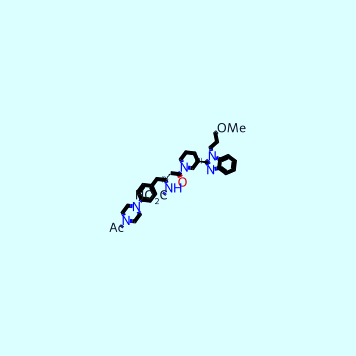 COCCCn1c([C@@H]2CCCN(C(=O)C[C@@H](Cc3ccc(N4CCN(C(C)=O)CC4)cc3)NC(=O)O)C2)nc2ccccc21